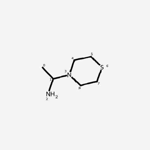 CC(N)N1CCSCC1